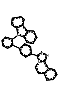 c1ccc(-n2c3ccccc3c3ccccc32)c(-c2ccc(-c3nnc4c5ccccc5ccn34)cc2)c1